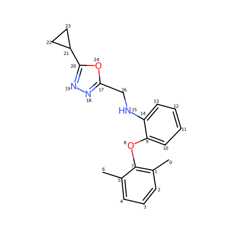 Cc1cccc(C)c1Oc1ccccc1NCc1nnc(C2CC2)o1